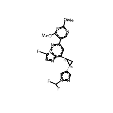 COc1ncc(-c2cc([C@H]3C[C@@H]3c3cnn(C(F)F)c3)c3ncc(F)n3n2)c(OC)n1